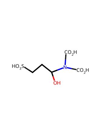 O=C(O)N(C(=O)O)C(O)CCS(=O)(=O)O